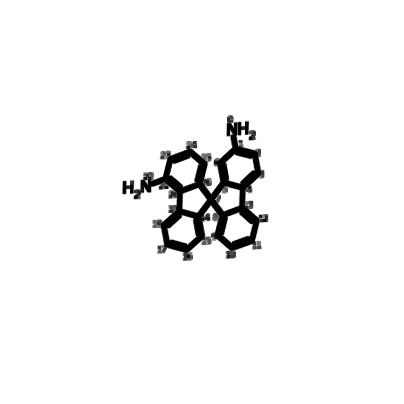 Nc1ccc2c(c1)C1(c3ccccc3-2)c2ccccc2-c2c(N)cccc21